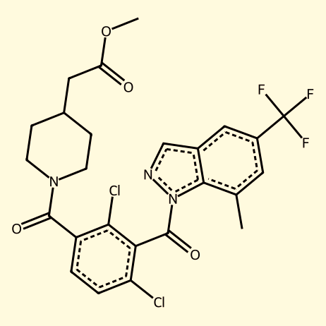 COC(=O)CC1CCN(C(=O)c2ccc(Cl)c(C(=O)n3ncc4cc(C(F)(F)F)cc(C)c43)c2Cl)CC1